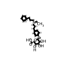 CCN(CCCc1ccccc1)CCCc1ccc(O[C@@H]2O[C@H](C(=O)O)[C@@H](O)[C@H](O)[C@H]2O)cc1